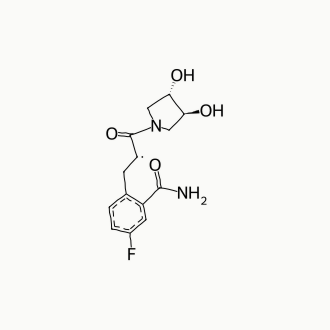 NC(=O)c1cc(F)ccc1C[CH]C(=O)N1C[C@H](O)[C@@H](O)C1